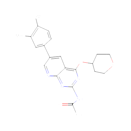 COc1ccc(-c2cnc3nc(NC(=O)C(C)(C)C)nc(OC4CCOCC4)c3c2)cc1OC